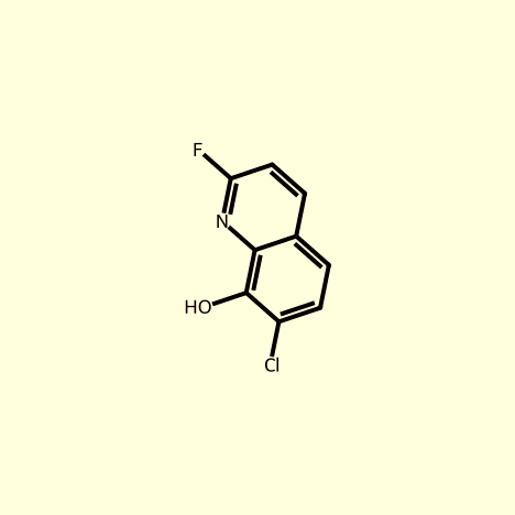 Oc1c(Cl)ccc2ccc(F)nc12